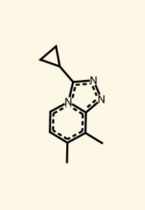 Cc1ccn2c(C3CC3)nnc2c1C